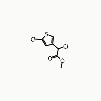 COC(=O)C(Cl)c1csc(Cl)c1